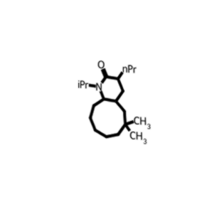 CCCC1CC2CC(C)(C)CCCCCC2N(C(C)C)C1=O